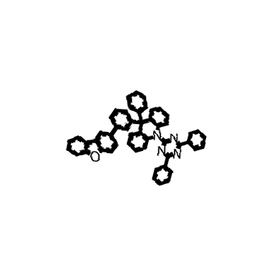 c1ccc(-c2nc(-c3ccccc3)nc(N3c4ccccc4C(c4ccccc4)(c4cccc(-c5ccc6oc7ccccc7c6c5)c4)c4ccccc43)n2)cc1